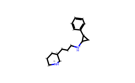 c1ccc(C2CC2NCCCC2CCCNC2)cc1